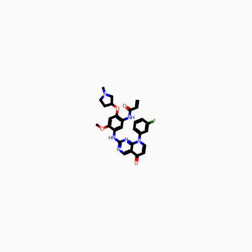 C=CC(=O)Nc1cc(Nc2ncc3c(=O)ccn(-c4cccc(F)c4)c3n2)c(OC)cc1OC1CCN(C)C1